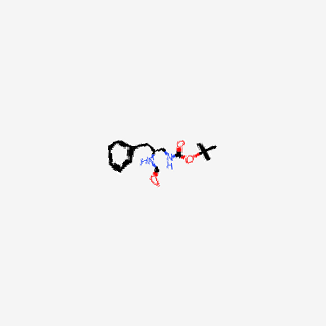 CC(C)(C)OC(=O)NC[C@H](Cc1ccccc1)NC=O